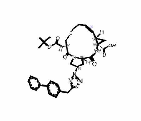 CC(C)(C)OC(=O)N[C@H]1CCCC/C=C\[C@@H]2C[C@@]2(C(=O)O)NC(=O)[C@@H]2C[C@@H](n3nnc(Cc4ccc(-c5ccccc5)cc4)n3)CN2C1=O